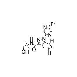 CC(C)c1cnc(-n2nc(C(=O)NC(C)(C)CO)c3c2[C@@H]2C[C@@H]2C3)cn1